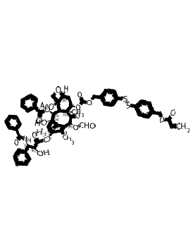 C=CC(=O)OCc1ccc(SSc2ccc(COC(=O)O[C@H]3C[C@H]4OC[C@@]4(OC(C)=O)C4[C@H](OC(=O)c5ccccc5)[C@]5(O)C[C@H](OC(=O)[C@H](O)[C@@H](NC(=O)c6ccccc6)c6ccccc6)C(C)=C([C@@H](OC=O)C(=O)[C@@]43C)C5(C)C)cc2)cc1